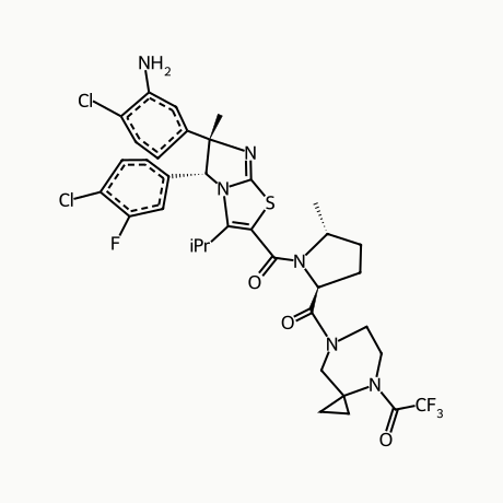 CC(C)C1=C(C(=O)N2[C@H](C)CC[C@H]2C(=O)N2CCN(C(=O)C(F)(F)F)C3(CC3)C2)SC2=N[C@@](C)(c3ccc(Cl)c(N)c3)[C@@H](c3ccc(Cl)c(F)c3)N21